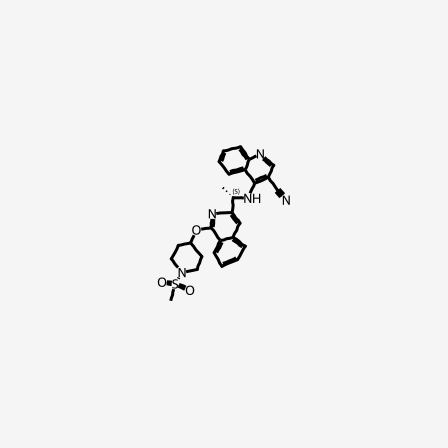 C[C@H](Nc1c(C#N)cnc2ccccc12)c1cc2ccccc2c(OC2CCN(S(C)(=O)=O)CC2)n1